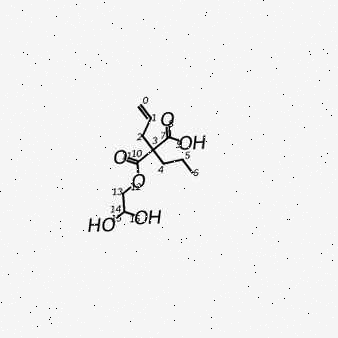 C=CCC(CCC)(C(=O)O)C(=O)OCC(O)O